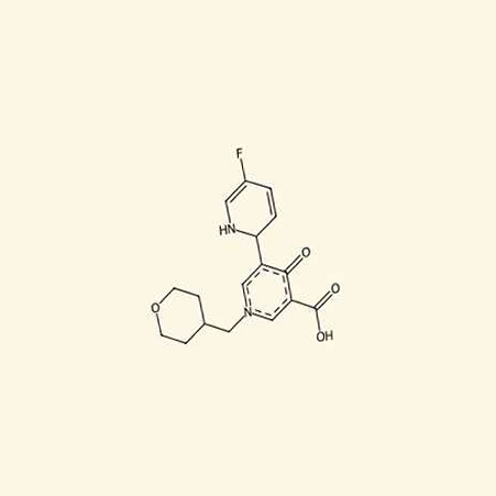 O=C(O)c1cn(CC2CCOCC2)cc(C2C=CC(F)=CN2)c1=O